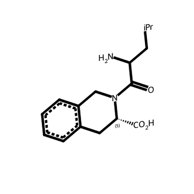 CC(C)CC(N)C(=O)N1Cc2ccccc2C[C@H]1C(=O)O